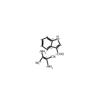 N#CC(N)=C(N)C#N.O=Cc1c[nH]c2ccccc12